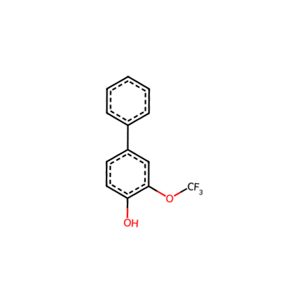 Oc1ccc(-c2ccccc2)cc1OC(F)(F)F